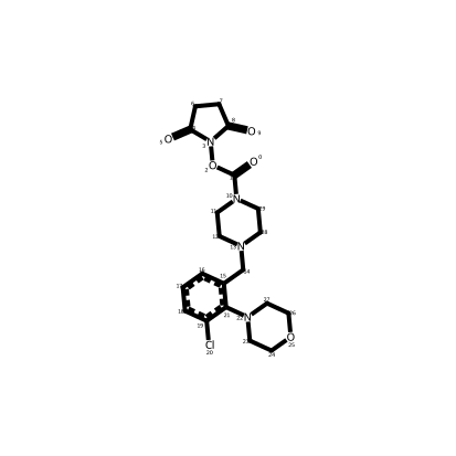 O=C(ON1C(=O)CCC1=O)N1CCN(Cc2cccc(Cl)c2N2CCOCC2)CC1